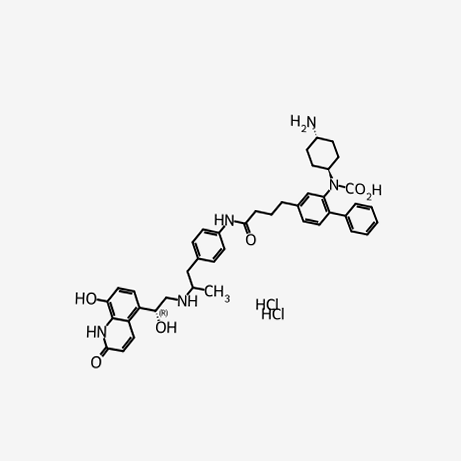 CC(Cc1ccc(NC(=O)CCCc2ccc(-c3ccccc3)c(N(C(=O)O)[C@H]3CC[C@H](N)CC3)c2)cc1)NC[C@H](O)c1ccc(O)c2[nH]c(=O)ccc12.Cl.Cl